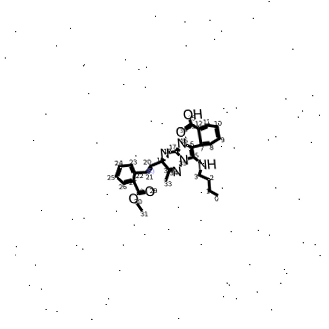 CCCCNc1c(-c2ccccc2C(=O)O)nc2nc(/C=C/c3ccccc3C(=O)OC)c(C)nn12